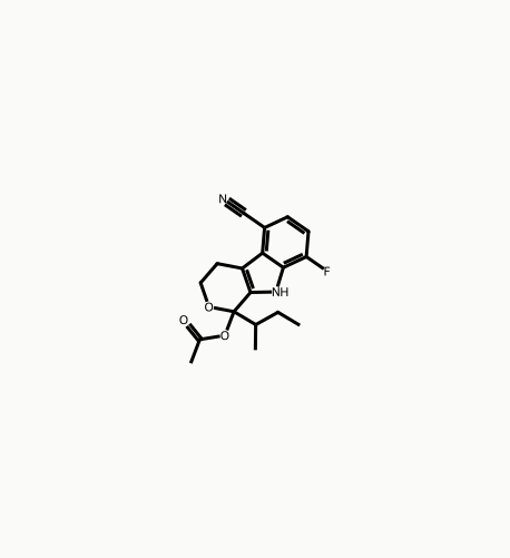 CCC(C)C1(OC(C)=O)OCCc2c1[nH]c1c(F)ccc(C#N)c21